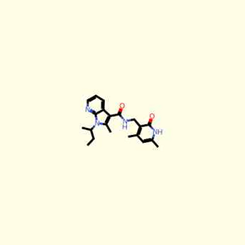 CCC(C)n1c(C)c(C(=O)NCc2c(C)cc(C)[nH]c2=O)c2cccnc21